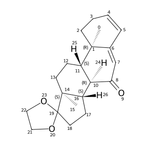 C[C@]12CCC=CC1=CC(=O)[C@@H]1[C@@H]2CC[C@@]2(C)[C@H]1CCC21OCCO1